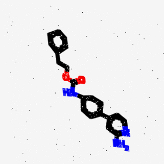 Nc1cc(-c2ccc(NC(=O)OCCc3ccccc3)cc2)ccn1